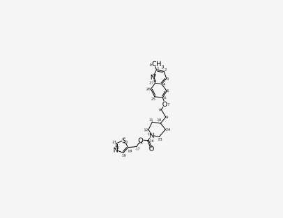 Cc1ccc2cc(OCCC3CCN(C(=O)OCc4cncs4)CC3)ccc2n1